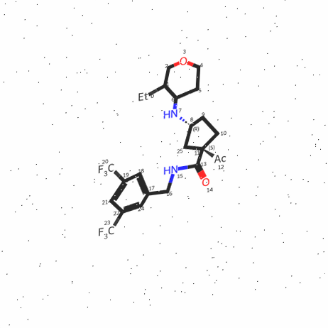 CCC1COCCC1N[C@@H]1CC[C@](C(C)=O)(C(=O)NCc2cc(C(F)(F)F)cc(C(F)(F)F)c2)C1